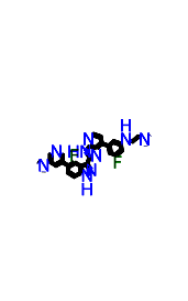 CN(C)CCNc1cc(F)cc(-c2ccnc3[nH]c(-c4n[nH]c5ccc(-c6cncc(N(C)C)c6)c(F)c45)nc23)c1